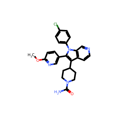 COc1ccc(-c2c(C3CCN(C(N)=O)CC3)c3ccncc3n2-c2ccc(Cl)cc2)cn1